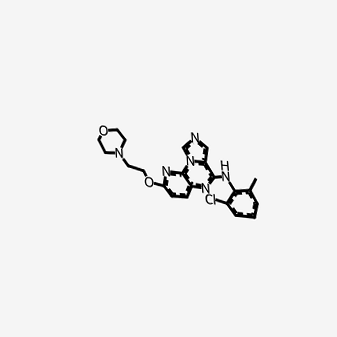 Cc1cccc(Cl)c1Nc1nc2ccc(OCCN3CCOCC3)nc2n2cncc12